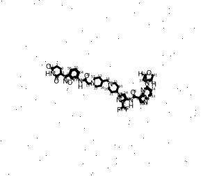 O=C1CCC(c2noc3c(NC(=O)CN4CCC(CN5CCC(n6cc(NC(=O)c7cnn8ccc(N9C[C@H]%10C[C@@H]9CO%10)nc78)c(C(F)F)n6)CC5)CC4)cccc23)C(=O)N1